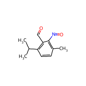 Cc1ccc(C(C)C)c(C=O)c1N=O